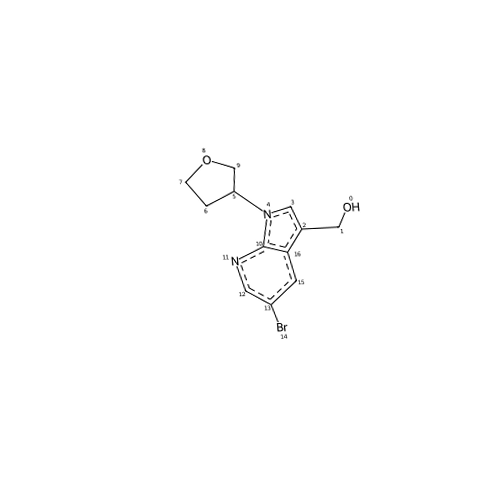 OCc1cn(C2CCOC2)c2ncc(Br)cc12